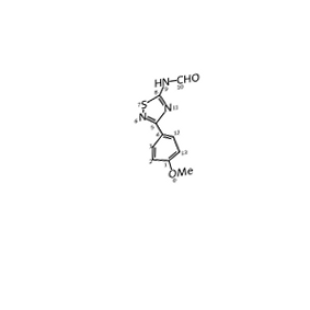 COc1ccc(-c2nsc(NC=O)n2)cc1